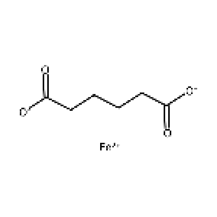 O=C([O-])CCCCC(=O)[O-].[Fe+2]